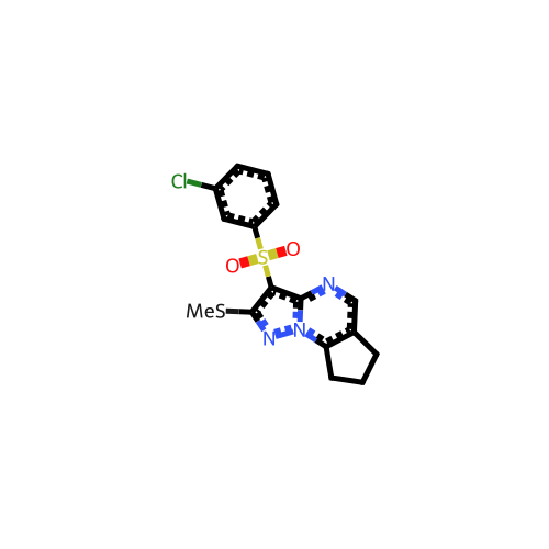 CSc1nn2c3c(cnc2c1S(=O)(=O)c1cccc(Cl)c1)CCC3